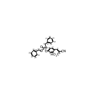 N#CC(=Cc1ccc(OP(=O)(OCc2ccccc2)OCc2ccccc2)cc1)C(=O)O